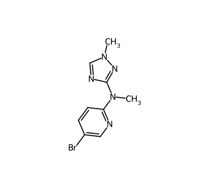 CN(c1ccc(Br)cn1)c1ncn(C)n1